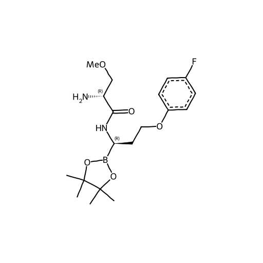 COC[C@@H](N)C(=O)N[C@@H](CCOc1ccc(F)cc1)B1OC(C)(C)C(C)(C)O1